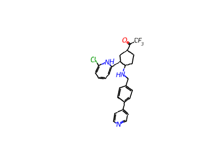 O=C(C1CCC(NCc2ccc(-c3ccncc3)cc2)C(C2=CC=CC=C(Cl)N2)C1)C(F)(F)F